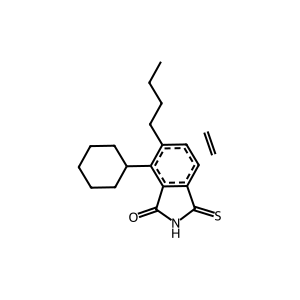 C=C.CCCCc1ccc2c(c1C1CCCCC1)C(=O)NC2=S